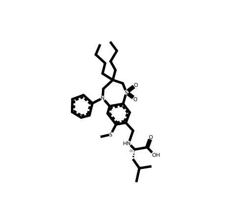 CCCCC1(CCCC)CN(c2ccccc2)c2cc(SC)c(CN[C@@H](CC(C)C)C(=O)O)cc2S(=O)(=O)C1